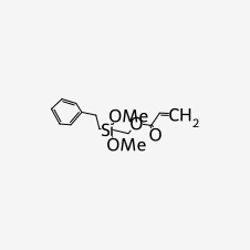 C=CC(=O)OC[Si](CCc1ccccc1)(OC)OC